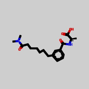 C[C@@H](NC(=O)c1cccc(CCCCCCC(=O)N(C)C)c1)C(=O)O